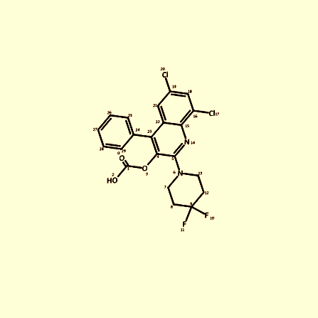 O=C(O)Oc1c(N2CCC(F)(F)CC2)nc2c(Cl)cc(Cl)cc2c1-c1ccccc1